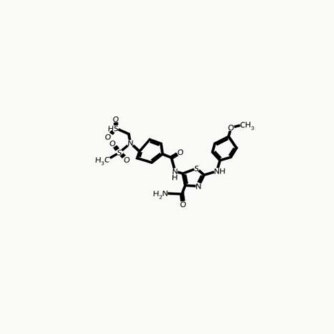 COc1ccc(Nc2nc(C(N)=O)c(NC(=O)c3ccc(N(C[SH](=O)=O)S(C)(=O)=O)cc3)s2)cc1